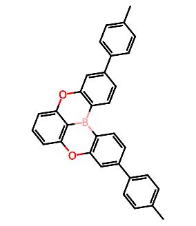 Cc1ccc(-c2ccc3c(c2)Oc2cccc4c2B3c2ccc(-c3ccc(C)cc3)cc2O4)cc1